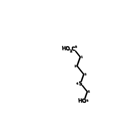 O=C(O)CCCSCO